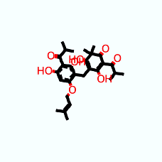 CC(C)=CCOc1cc(O)c(C(=O)C(C)C)c(O)c1CC1=C(O)C(C)(C)C(=O)C(C(=O)C(C)C)=C1O